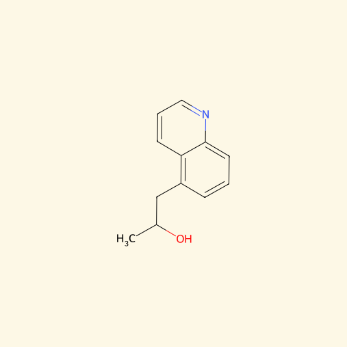 CC(O)Cc1cccc2ncccc12